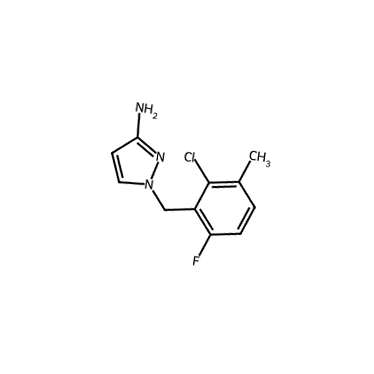 Cc1ccc(F)c(Cn2ccc(N)n2)c1Cl